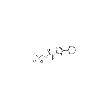 O=C(Nc1nc(-c2ccccc2)cs1)OCC(Cl)(Cl)Cl